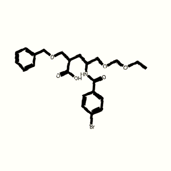 CCOCOCC(CC(COCc1ccccc1)C(=O)O)NC(=O)c1ccc(Br)cc1